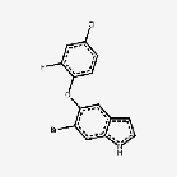 Fc1cc(Cl)ccc1Oc1cc2cc[nH]c2cc1Br